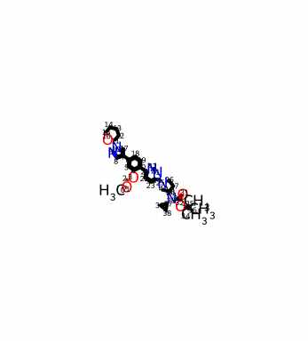 COCOc1cc(-c2cnn(C3CCCCO3)c2)ccc1-c1ccc(N2CC[C@H](N(C(=O)OC(C)(C)C)C3CC3)C2)nn1